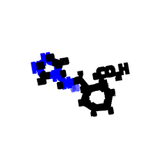 O=C(O)c1ccccc1/C=N/n1cnnc1